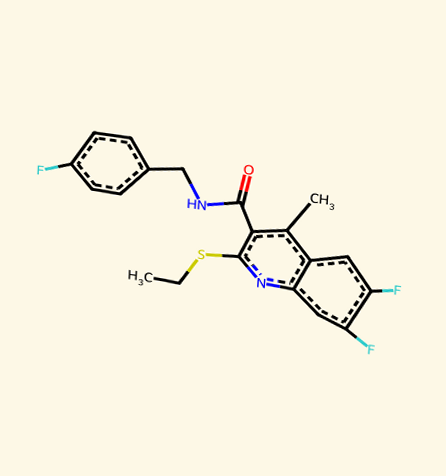 CCSc1nc2cc(F)c(F)cc2c(C)c1C(=O)NCc1ccc(F)cc1